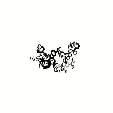 CO[C@@H](C)c1ncccc1-c1c(CC(C)(C)CO)c2cc(-c3csc(C[C@H](NC(=O)OC(C)(C)C)C(=O)OC(=O)C4CCCNN4)n3)ccc2n1CCOC1CCOCC1